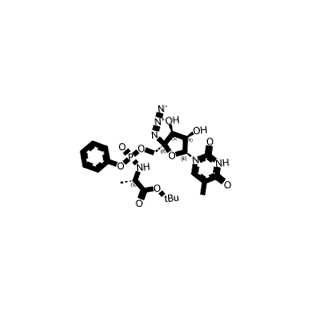 Cc1cn([C@@H]2O[C@@](COP(=O)(N[C@@H](C)C(=O)OC(C)(C)C)Oc3ccccc3)(N=[N+]=[N-])[C@@H](O)[C@H]2O)c(=O)[nH]c1=O